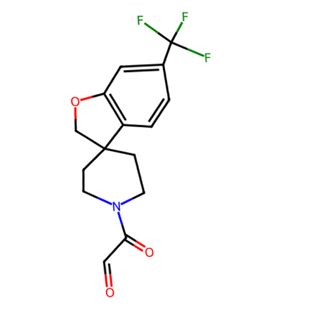 O=CC(=O)N1CCC2(CC1)COc1cc(C(F)(F)F)ccc12